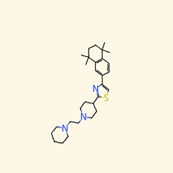 CC1(C)CCC(C)(C)c2cc(-c3csc(C4CCN(CCN5CCCCC5)CC4)n3)ccc21